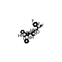 O=C1NC2CCCC2c2[nH]c(-c3ccnc(NC(=O)[C@@H](CC(F)F)c4ccc(F)cc4)c3)c(Nc3ccccc3)c21